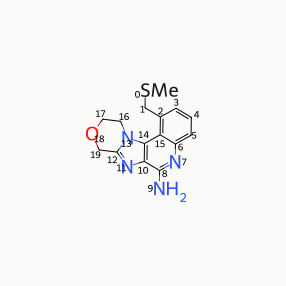 CSCc1cccc2nc(N)c3nc4n(c3c12)CCOC4